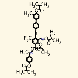 C=CC(=O)Oc1c(C(=O)O/C=C(\C)c2ccc(OC(=O)C(=C)C)cc2)cc(C(F)(F)F)c(C#Cc2ccc(-c3ccc(OC(=O)C(=C)C)c(C)c3)cc2)c1/C=C/OC(=O)C(=C)C